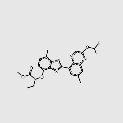 CCN(Oc1ccc(C)c2nc(-c3cc(C)cc4nc(OC(F)F)cnc34)sc12)C(=O)OC